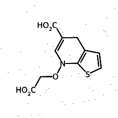 O=C(O)CON1C=C(C(=O)O)Cc2ccsc21